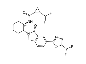 O=C(N[C@@H]1CCCCC1N1Cc2ccc(-c3nnc(C(F)F)o3)cc2C1=O)C1CC1C(F)F